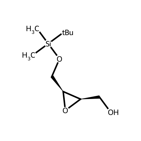 CC(C)(C)[Si](C)(C)OC[C@@H]1O[C@@H]1CO